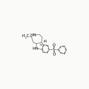 CC1CC2Nc3ccc(S(=O)(=O)c4ccccc4)cc3[C@@H]2CCN1